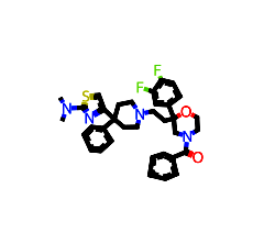 CN(C)c1nc(C2(c3ccccc3)CCN(CCC3(c4ccc(F)c(F)c4)CN(C(=O)c4ccccc4)CCO3)CC2)cs1